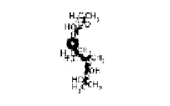 C=C/C(=C\C=C(/C)C(C)(C)C1=CC=C(OCC(O)COC(=O)C(=C)C)CC=C1)OCC(O)CO[C@@H](O)C(=C)C